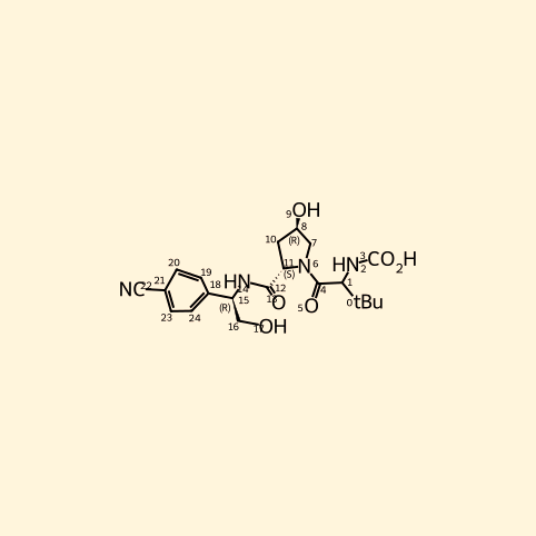 CC(C)(C)C(NC(=O)O)C(=O)N1C[C@H](O)C[C@H]1C(=O)N[C@@H](CO)c1ccc(C#N)cc1